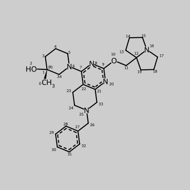 C[C@@]1(O)CCCN(c2nc(OCC34CCCN3CCC4)nc3c2CCN(Cc2ccccc2)C3)C1